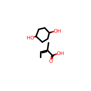 CC=C(C)C(=O)O.OC1CCC(O)CC1